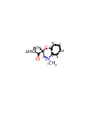 CCCC1(C(=O)OC)CN(C)c2ccccc2O1